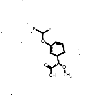 COC(C(=O)O)C1C=C(OC(F)F)C=CC1